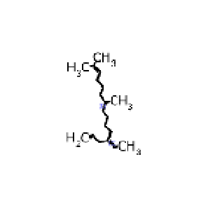 C=CC/C(=C/C)CCC/C=C(\C)CCCC=C(C)C